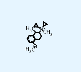 COc1cccc2c1CCC([N+](C)(C1CC1)C1CC1)C2C